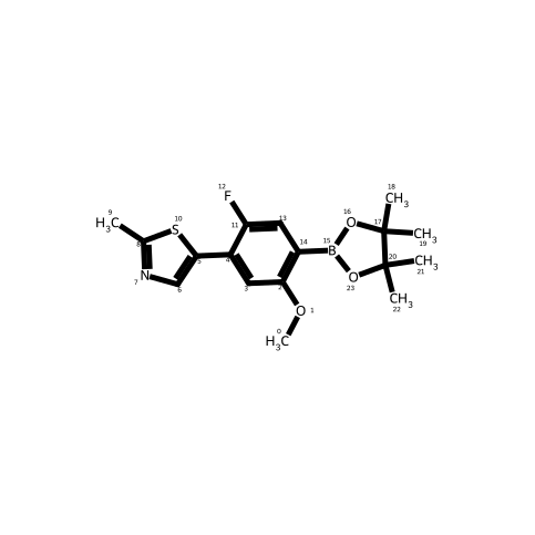 COc1cc(-c2cnc(C)s2)c(F)cc1B1OC(C)(C)C(C)(C)O1